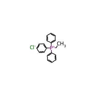 CC[P+](c1ccccc1)(c1ccccc1)c1ccccc1.[Cl-]